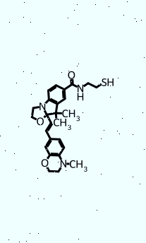 CN1CCOc2cc(/C=C/C34OCCN3c3ccc(C(=O)NCCS)cc3C4(C)C)ccc21